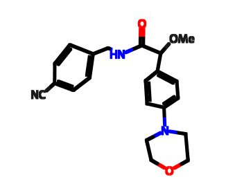 COC(C(=O)NCc1ccc(C#N)cc1)c1ccc(N2CCOCC2)cc1